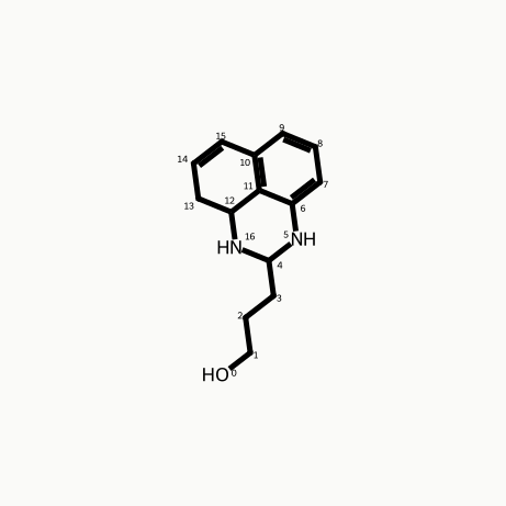 OCCCC1Nc2cccc3c2C(CC=C3)N1